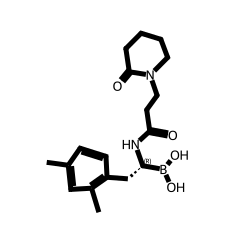 Cc1ccc(C[C@H](NC(=O)CCN2CCCCC2=O)B(O)O)c(C)c1